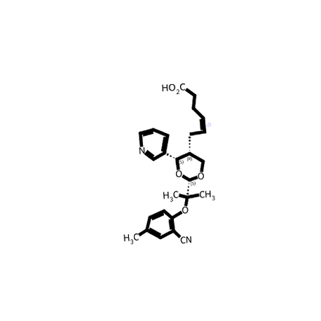 Cc1ccc(OC(C)(C)[C@H]2OC[C@@H](C/C=C\CCC(=O)O)[C@@H](c3cccnc3)O2)c(C#N)c1